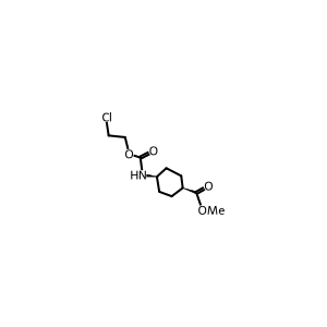 COC(=O)[C@H]1CC[C@@H](NC(=O)OCCCl)CC1